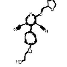 N#Cc1cnc(SCC2CCCO2)c(C#N)c1-c1ccc(OCCO)cc1